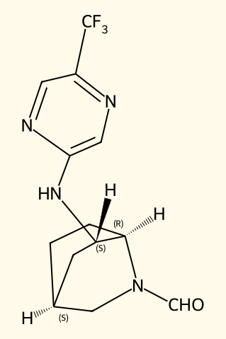 O=CN1C[C@H]2CC[C@@H]1[C@@H](Nc1cnc(C(F)(F)F)cn1)C2